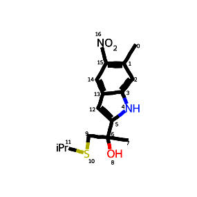 Cc1cc2[nH]c(C(C)(O)CSC(C)C)cc2cc1[N+](=O)[O-]